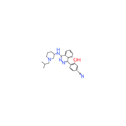 CC(C)CN1CCC[C@@H](Nc2nnc(-c3ccc(C#N)cc3O)c3ccccc23)C1